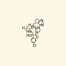 CC(C)NC[C@](O)(C(=O)N1CCN(c2ncnc3c2[C@H](C)CC3)CC1)c1ccc(Cl)cc1